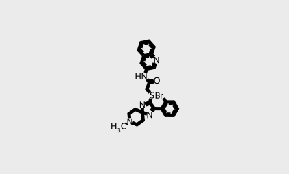 CN1CCC2(CC1)N=C(SCC(=O)Nc1cnc3ccccc3c1)C(c1ccccc1Br)=N2